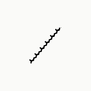 [CH2]/C=C(\C)CC/C=C(\C)CC/C=C(\C)CC/C=C(\C)CC/C=C(\C)CCC=C(C)C